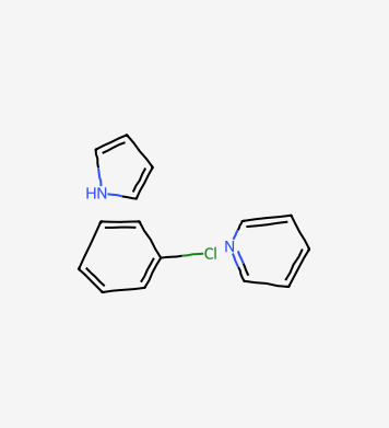 Clc1ccccc1.c1cc[nH]c1.c1ccncc1